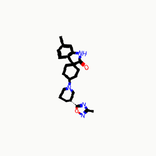 Cc1ccc2c(c1)NC(=O)C21CCC(N2CCC[C@@H](c3nc(C)no3)C2)CC1